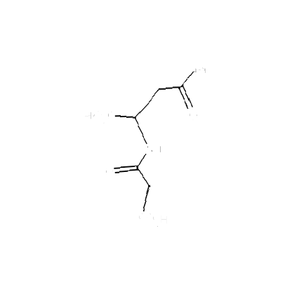 CC(C)C(=O)CC(NC(=O)CC(=O)O)C(=O)O